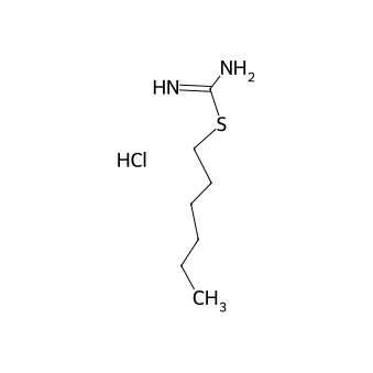 CCCCCCSC(=N)N.Cl